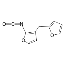 O=C=Nc1occc1Cc1ccco1